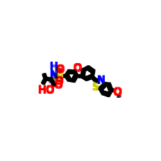 COc1ccc2sc(-c3ccc4oc5cc(S(=O)(=O)N[C@H](C(=O)O)C(C)C)ccc5c4c3)nc2c1